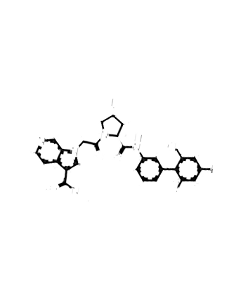 NC(=O)c1cn(CC(=O)N2C[C@H](F)C[C@H]2C(=O)Nc2cccc(-c3c(F)cc(F)cc3Cl)c2)c2cnccc12